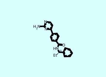 CC[C@H](NC(=O)c1ccc(-c2ccnc(N)n2)cc1)c1ccccc1